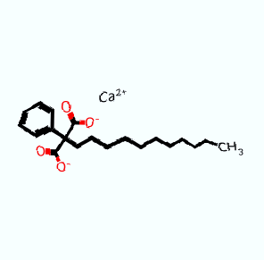 CCCCCCCCCCCC(C(=O)[O-])(C(=O)[O-])c1ccccc1.[Ca+2]